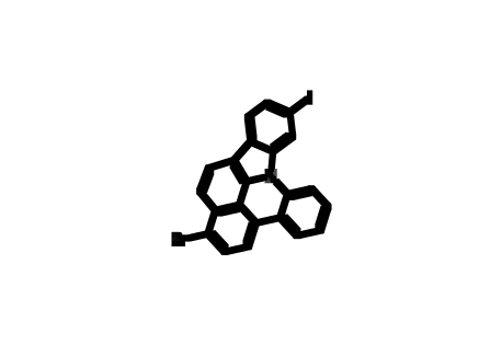 Brc1ccc2c3ccccc3n3c4cc(I)ccc4c4ccc1c2c43